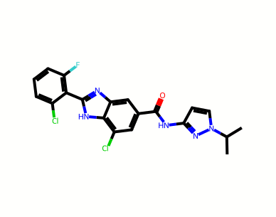 CC(C)n1ccc(NC(=O)c2cc(Cl)c3[nH]c(-c4c(F)cccc4Cl)nc3c2)n1